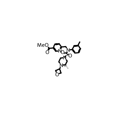 COC(=O)c1ccc(CN(c2cccc(C)c2)S(=O)(=O)N2CCN(C3COC3)[C@@H](C)C2)nc1